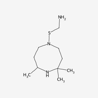 CC1CCN(SCN)CCC(C)(C)N1